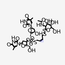 CC(=O)NC1[C@@H](O)[C@H](O)C(CO)O[C@H]1SSC/C=C\CSP(=O)(OC[C@H]1O[C@@H](n2cc(C)c(=O)[nH]c2=O)CC1O)OC1C[C@H](n2cc(C)c(=O)[nH]c2=O)O[C@@H]1CO